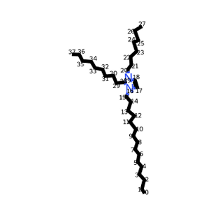 CCCCCCCCCCCCCCCCN1C=CN(CCCCCCCC)C1CCCCCCCCC